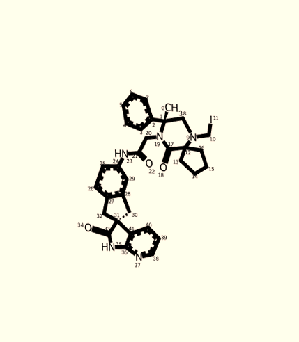 C[C@@]1(c2ccccc2)CN(CI)C2(CCCC2)C(=O)N1CC(=O)Nc1ccc2c(c1)C[C@@]1(C2)C(=O)Nc2ncccc21